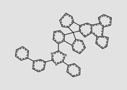 c1ccc(-c2cccc(-c3nc(-c4ccccc4)nc(-c4cccc5c4-c4ccccc4C54c5ccccc5-c5cc6c7ccccc7c7ccccc7c6cc54)n3)c2)cc1